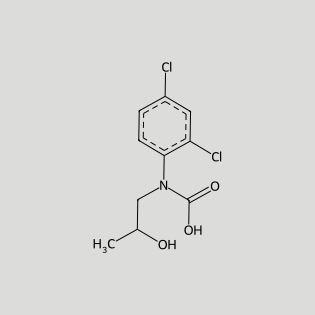 CC(O)CN(C(=O)O)c1ccc(Cl)cc1Cl